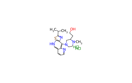 CC(C)c1nc2c(s1)NC=c1cccnc1=C2N1CCN(C)C(CCO)C1.Cl.Cl